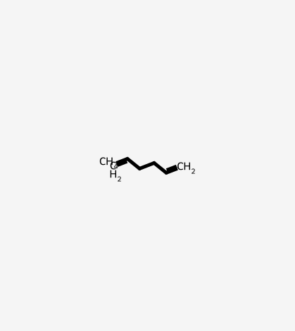 C.C=CCCC=C